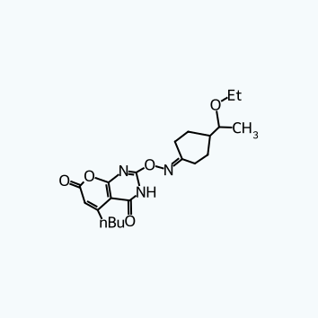 CCCCc1cc(=O)oc2nc(ON=C3CCC(C(C)OCC)CC3)[nH]c(=O)c12